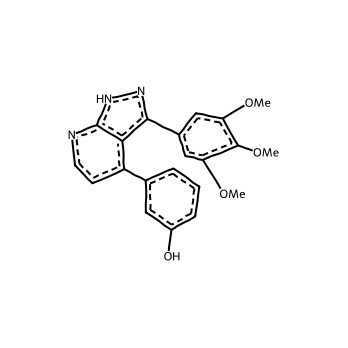 COc1cc(-c2n[nH]c3nccc(-c4cccc(O)c4)c23)cc(OC)c1OC